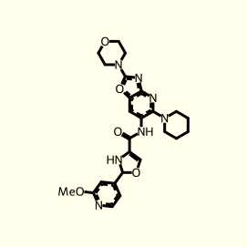 COc1cc(C2NC(C(=O)Nc3cc4oc(N5CCOCC5)nc4nc3N3CCCCC3)=CO2)ccn1